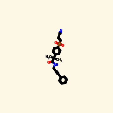 CC(C)(C(=O)NCC#Cc1ccccc1)c1ccc(S(=O)(=O)C=CC#N)cc1